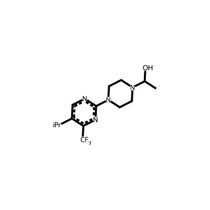 CC(C)c1cnc(N2CCN(C(C)O)CC2)nc1C(F)(F)F